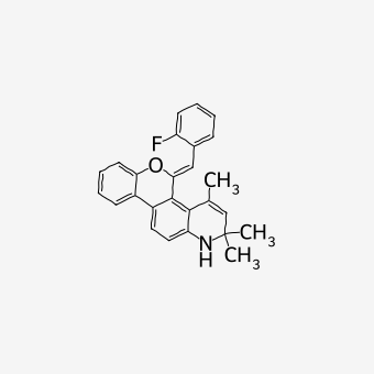 CC1=CC(C)(C)Nc2ccc3c(c21)C(=Cc1ccccc1F)Oc1ccccc1-3